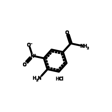 Cl.NC(=O)c1ccc(N)c([N+](=O)[O-])c1